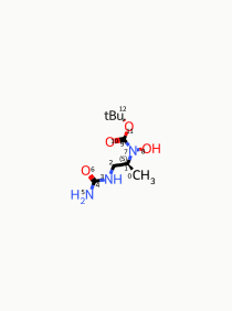 C[C@@H](CNC(N)=O)N(O)C(=O)OC(C)(C)C